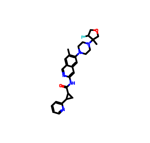 Cc1cc2cnc(NC(=O)C3CC3c3ccccn3)cc2cc1N1CCN(C2(C)COCC2F)CC1